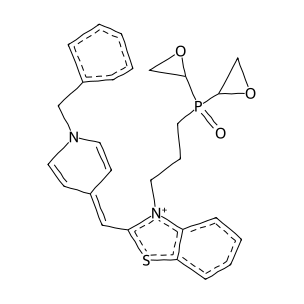 O=P(CCC[n+]1c(C=C2C=CN(Cc3ccccc3)C=C2)sc2ccccc21)(C1CO1)C1CO1